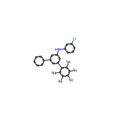 [2H]c1c([2H])c([2H])c(-c2cc(Nc3cccc(Cl)c3)cc(-c3ccccc3)c2)c([2H])c1[2H]